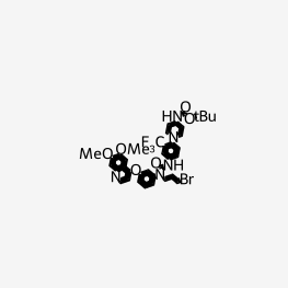 COc1cc2nccc(Oc3cccc(N(CCCBr)C(=O)Nc4ccc(N5CCC(NC(=O)OC(C)(C)C)CC5)c(C(F)(F)F)c4)c3)c2cc1OC